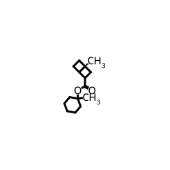 CC1(OC(=O)C2C[C@@]3(C)CCC23)CCCCC1